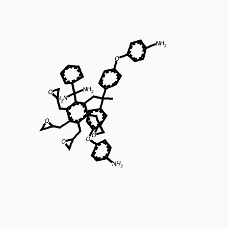 CC(Cc1c(CC2CO2)c(CC2CO2)c(CC2CO2)c(CC2CO2)c1C(N)(N)c1ccccc1)(c1ccc(Oc2ccc(N)cc2)cc1)c1ccc(Oc2ccc(N)cc2)cc1